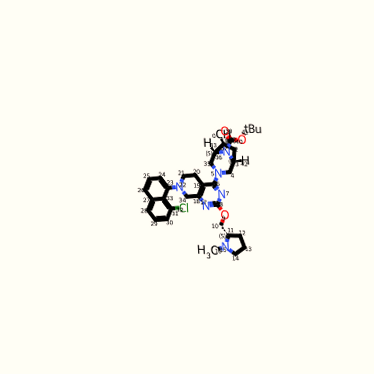 C[C@H]1C[C@@H]2CN(c3nc(OC[C@@H]4CCCN4C)nc4c3CCN(c3cccc5cccc(Cl)c35)C4)C[C@H]1N2C(=O)OC(C)(C)C